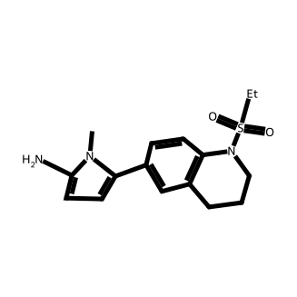 CCS(=O)(=O)N1CCCc2cc(-c3ccc(N)n3C)ccc21